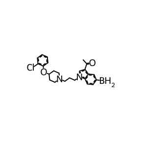 Bc1ccc2c(c1)c(C(C)=O)cn2CCCN1CCC(Oc2ccccc2Cl)CC1